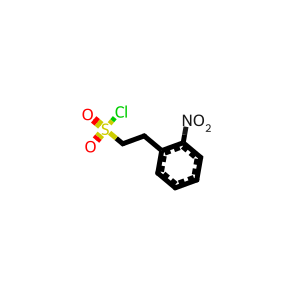 O=[N+]([O-])c1ccccc1CCS(=O)(=O)Cl